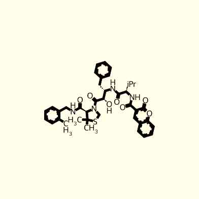 Cc1ccccc1CNC(=O)[C@H]1N(C(=O)[C@@H](O)[C@H](Cc2ccccc2)NC(=O)[C@@H](NC(=O)c2cc3ccccc3oc2=O)C(C)C)CSC1(C)C